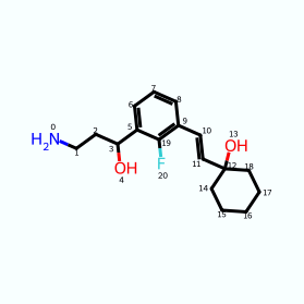 NCCC(O)c1cccc(C=CC2(O)CCCCC2)c1F